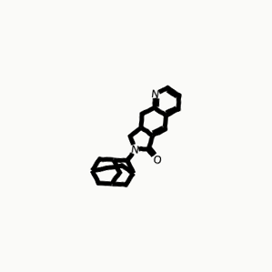 O=C1C2=Cc3cccnc3CC2CN1C1C2CC3CC(C2)CC1C3